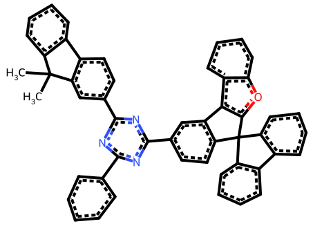 CC1(C)c2ccccc2-c2ccc(-c3nc(-c4ccccc4)nc(-c4ccc5c(c4)-c4c(oc6ccccc46)C54c5ccccc5-c5ccccc54)n3)cc21